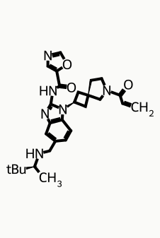 C=CC(=O)N1CC[C@]2(C1)C[C@H](n1c(NC(=O)c3cnco3)nc3cc(CN[C@@H](C)C(C)(C)C)ccc31)C2